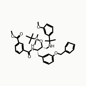 COC(=O)c1cccc(C(=O)N[C@@H](Cc2cccc(OCc3ccccc3)c2)[C@@H](CNC(C)(C)c2cccc(OC)c2)O[Si](C)(C)C(C)(C)C)c1